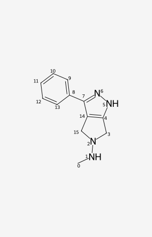 CNN1Cc2[nH]nc(-c3ccccc3)c2C1